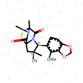 COc1c([C@@H]2N3C(=O)C4(C)SSC3(C[C@]2(C)C#N)C(=O)N4C)ccc2c1OCO2